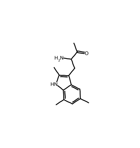 CC(=O)C(N)Cc1c(C)[nH]c2c(C)cc(C)cc12